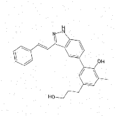 Cc1cc(CCCO)cc(-c2ccc3[nH]nc(C=Cc4ccccc4)c3c2)c1O